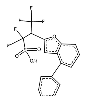 O=S(=O)(O)C(F)(F)C(c1cc2c(-c3ccccc3)cccc2o1)C(F)(F)F